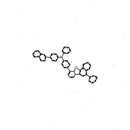 C1=CC2c3cc(-c4ccccc4)c4ccccc4c3OC2C(c2ccc(N(c3ccccc3)c3ccc(-c4ccc5ccccc5c4)cc3)cc2)=C1